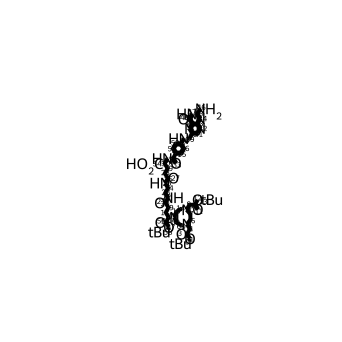 CC(C)(C)OC(=O)CN1CCN(CC(=O)OC(C)(C)C)CCN(C(CCC(=O)NCCNC(=O)CC[C@H](NC(=O)c2ccc(NCc3cnc4nc(N)[nH]c(=O)c4n3)cc2)C(=O)O)C(=O)OC(C)(C)C)CC1